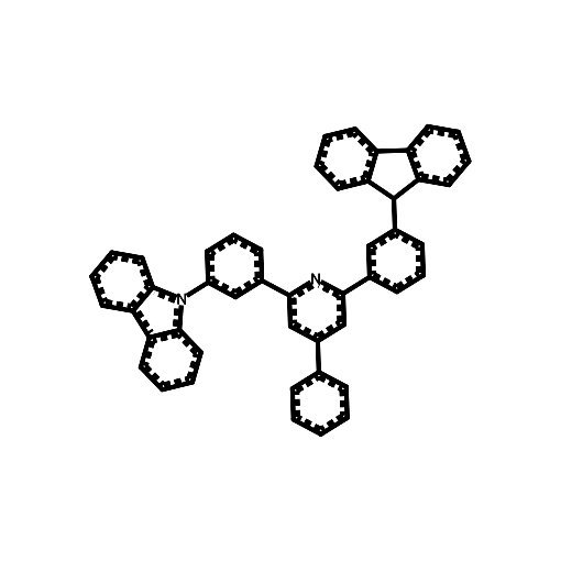 c1ccc(-c2cc(-c3cccc(C4c5ccccc5-c5ccccc54)c3)nc(-c3cccc(-n4c5ccccc5c5ccccc54)c3)c2)cc1